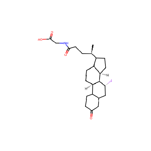 C[C@H](CCC(=O)NCC(=O)O)C1CC[C@@H]2C1CC[C@@H]1C3CCC(=O)CC3C[C@@H](I)C12